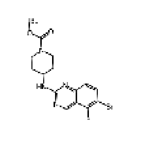 CC(C)(C)OC(=O)N1CCC(Nc2ncc3c(F)c(Br)ccc3n2)CC1